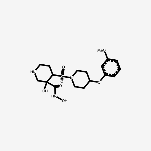 COc1cccc(OC2CCN(S(=O)(=O)C3CCNCC3(O)C(=O)NO)CC2)c1